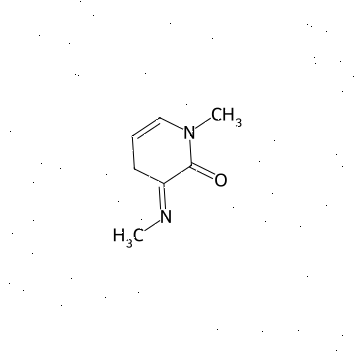 CN=C1CC=CN(C)C1=O